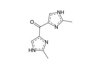 Cc1nc(C(=O)c2c[nH]c(C)n2)c[nH]1